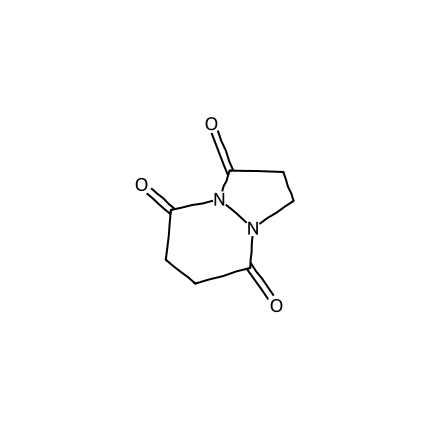 O=C1CCC(=O)N2C(=O)CCN12